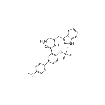 CSc1ccc(-c2ccc(OC(F)(F)F)c(C(=O)NC(CN)Cc3c[nH]c4ccccc34)c2)cc1